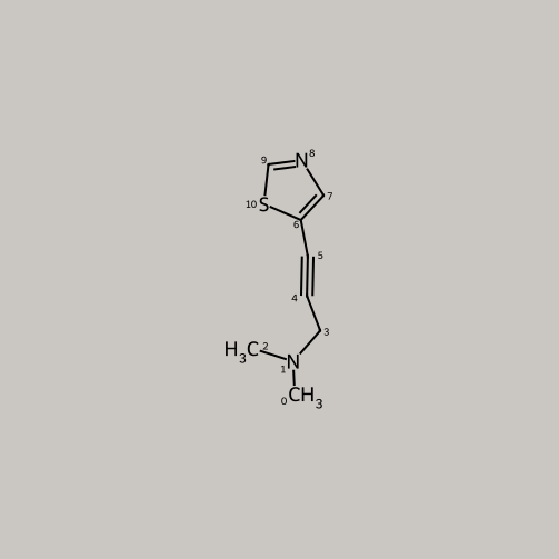 CN(C)CC#Cc1cncs1